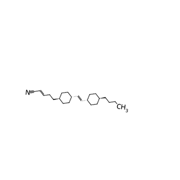 CCCC[C@H]1CC[C@H](C=C[C@H]2CC[C@H](CCC=CC#N)CC2)CC1